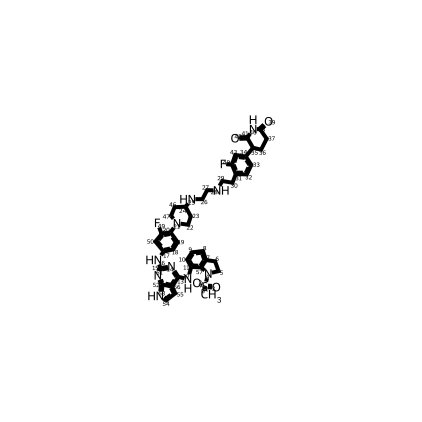 CS(=O)(=O)N1CCc2cccc(Nc3nc(Nc4ccc(N5CCC(NCCNCCc6ccc(C7CCC(=O)NC7=O)cc6F)CC5)c(F)c4)nc4[nH]ccc34)c21